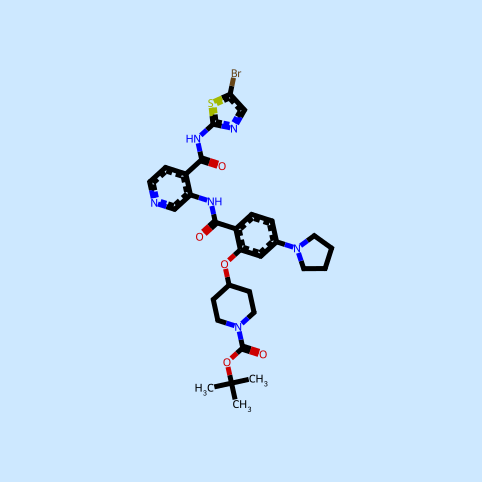 CC(C)(C)OC(=O)N1CCC(Oc2cc(N3CCCC3)ccc2C(=O)Nc2cnccc2C(=O)Nc2ncc(Br)s2)CC1